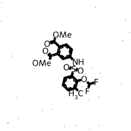 COC(=O)c1ccc(NS(=O)(=O)c2cccc(C)c2OC(F)F)cc1C(=O)OC